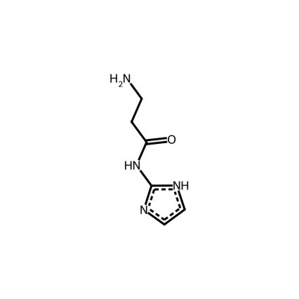 NCCC(=O)Nc1ncc[nH]1